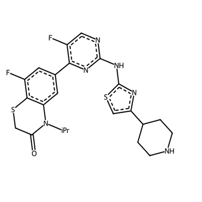 CC(C)N1C(=O)CSc2c(F)cc(-c3nc(Nc4nc(C5CCNCC5)cs4)ncc3F)cc21